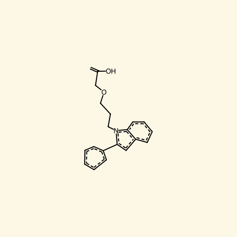 C=C(O)COCCCn1c(-c2ccccc2)cc2ccccc21